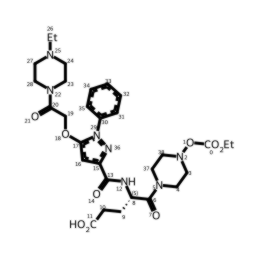 CCOC(=O)ON1CCN(C(=O)[C@H](CCC(=O)O)NC(=O)c2cc(OCC(=O)N3CCN(CC)CC3)n(-c3ccccc3)n2)CC1